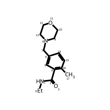 CCNC(=O)c1cc(CN2CCOCC2)ccc1C